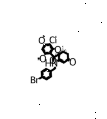 COc1cc(OC)c2c(c1Cl)O[C@]1(C2=O)C(NCc2ccc(Br)cc2)=CC(=O)C[C@H]1C